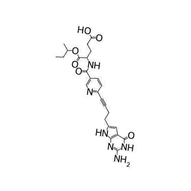 CCC(C)OC(=O)C(CCC(=O)O)NC(=O)c1ccc(C#CCCc2cc3c(=O)[nH]c(N)nc3[nH]2)nc1